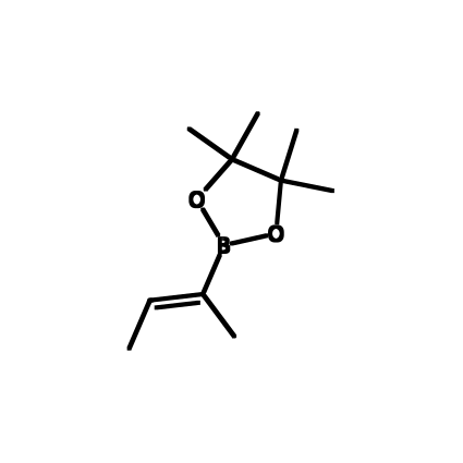 C/C=C(\C)B1OC(C)(C)C(C)(C)O1